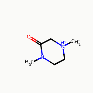 [CH2-][NH+]1CCN(C)C(=O)C1